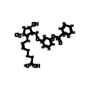 O=C(O)CCC/C=C\C[C@@H]1C(COc2cccc(OC(=O)c3ccccc3)c2)[C@@H](O)C[C@H]1Cl